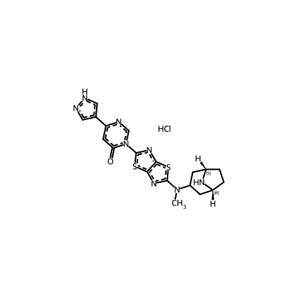 CN(c1nc2sc(-n3cnc(-c4cn[nH]c4)cc3=O)nc2s1)C1C[C@H]2CC[C@@H](C1)N2.Cl